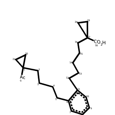 CC(=O)C1(CCCCc2ccccc2CCCCCC2(C(=O)O)CC2)CC1